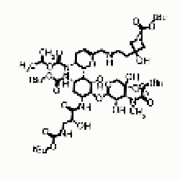 C=C(C)OC(=O)N[C@@H]1CC=C(CNCCC2(O)CN(C(=O)OC(C)(C)C)C2)O[C@@H]1C1[C@@H](NC(=O)OC(C)(C)C)C[C@@H](NC(=O)[C@@H](O)CNC(=O)OC(C)(C)C)[C@H](O[C@H]2OC[C@](C)(O)[C@H](N(C)C(=O)OC(C)(C)C)[C@H]2O)[C@H]1O